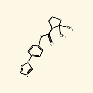 CC1(C)OCCN1C(=O)Oc1ccc(-n2cncn2)cc1